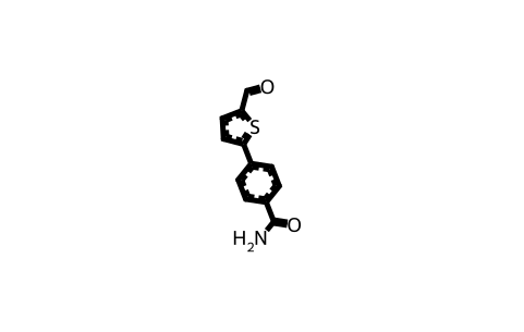 NC(=O)c1ccc(-c2ccc(C=O)s2)cc1